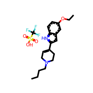 CCCCN1CC=C(c2cc3cc(OCC)ccc3[nH]2)CC1.O=S(=O)(O)C(F)(F)F